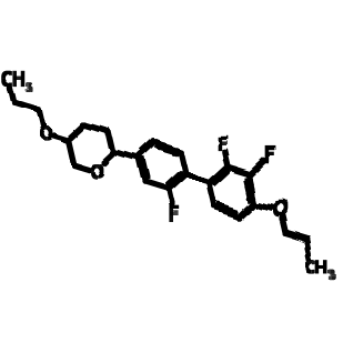 CCCOc1ccc(-c2ccc(C3CCC(OCCC)CO3)cc2F)c(F)c1F